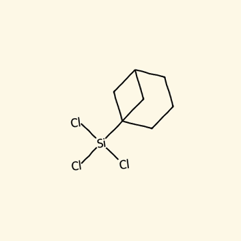 Cl[Si](Cl)(Cl)C12CCCC(C1)C2